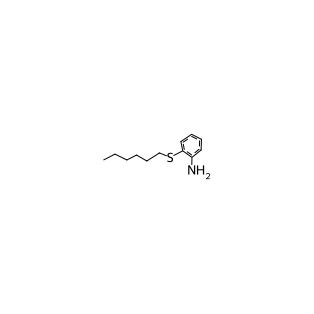 CCCCCCSc1ccccc1N